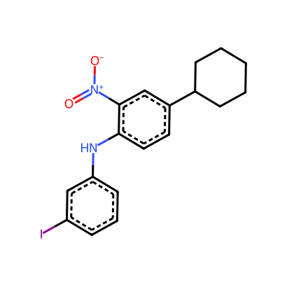 O=[N+]([O-])c1cc(C2CCCCC2)ccc1Nc1cccc(I)c1